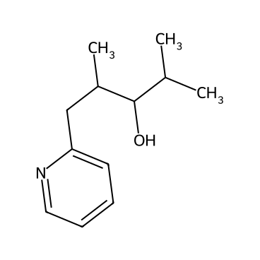 CC(C)C(O)C(C)Cc1ccccn1